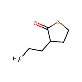 CCCC1CCSC1=O